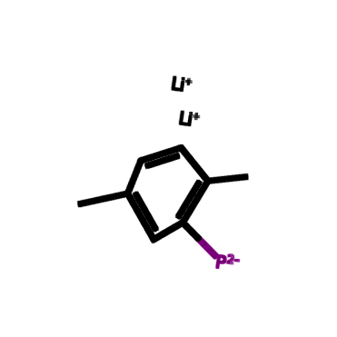 Cc1ccc(C)c([P-2])c1.[Li+].[Li+]